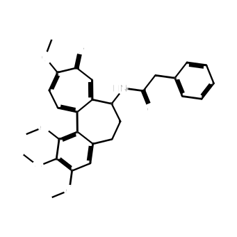 COc1cc2c(c(OC)c1OC)-c1ccc(OC)c(=O)cc1C(NC(=O)Cc1ccccc1)CC2